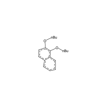 CCCCOc1ccc2ccccc2c1OCCCC